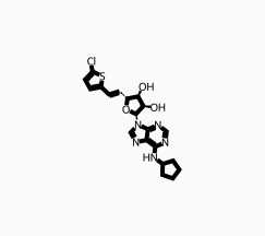 O[C@@H]1[C@H](O)[C@@H](C=Cc2ccc(Cl)s2)O[C@H]1n1cnc2c(NC3CCCC3)ncnc21